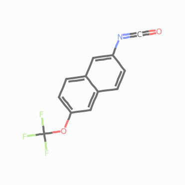 O=C=Nc1ccc2cc(OC(F)(F)F)ccc2c1